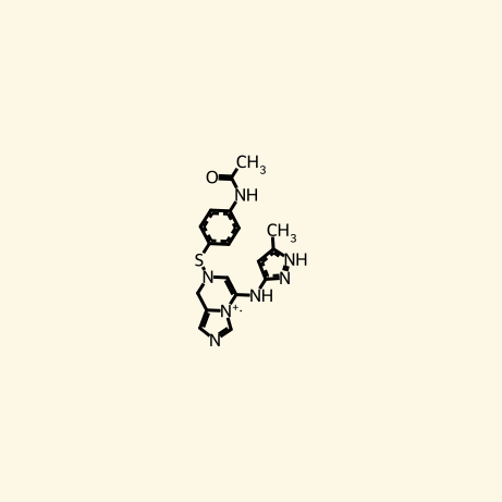 CC(=O)Nc1ccc(SN2C=C(Nc3cc(C)[nH]n3)[N+]3C=NC=C3C2)cc1